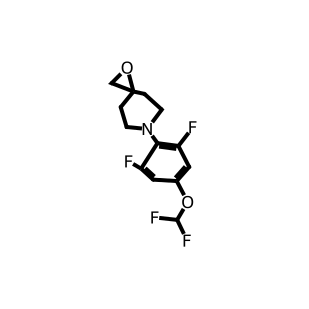 Fc1cc(OC(F)F)cc(F)c1N1CCC2(CC1)CO2